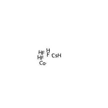 F.F.F.[Co].[CsH]